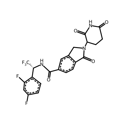 O=C1CCC(N2Cc3cc(C(=O)N[C@H](c4ccc(F)cc4F)C(F)(F)F)ccc3C2=O)C(=O)N1